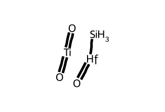 [O]=[Hf][SiH3].[O]=[Ti]=[O]